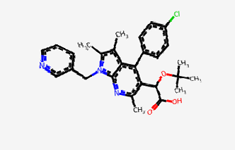 Cc1nc2c(c(C)c(C)n2Cc2cccnc2)c(-c2ccc(Cl)cc2)c1C(OC(C)(C)C)C(=O)O